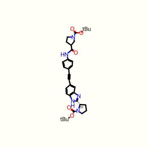 CC(C)(C)OC(=O)N1CCC(C(=O)Nc2ccc(C#Cc3ccc4[nH]c([C@@H]5CCCN5C(=O)OC(C)(C)C)nc4c3)cc2)C1